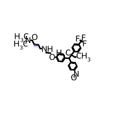 CCC(C)(c1ccc(C(F)(F)F)cc1)C(c1ccc(N=O)cc1)c1ccc(OCCNC/C=C/C(=O)N(C)C)cc1